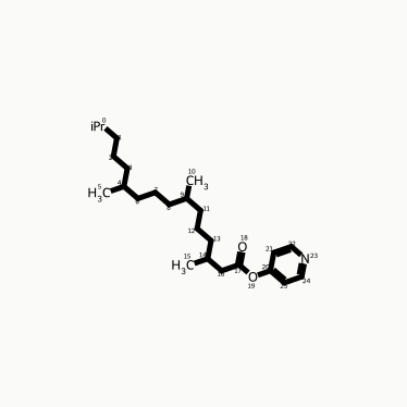 CC(C)CCCC(C)CCCC(C)CCCC(C)CC(=O)Oc1ccncc1